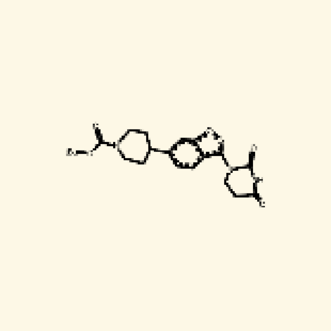 CC(C)(C)OC(=O)N1CCC(c2ccc3c(N4CCC(=O)NC4=O)noc3c2)CC1